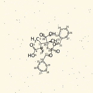 CC([C@@H](F)C(=O)O)[C@@](C)(CP(=O)(OCc1ccccc1)OCc1ccccc1)C(=O)O